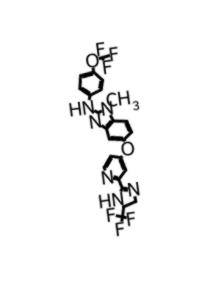 Cn1c(Nc2ccc(OC(F)(F)F)cc2)nc2cc(Oc3ccnc(C4=NCC(C(F)(F)F)N4)c3)ccc21